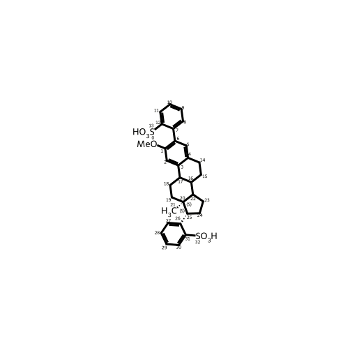 COc1cc2c(cc1-c1ccccc1S(=O)(=O)O)CCC1C2CC[C@@]2(C)C1CC[C@@H]2c1ccccc1S(=O)(=O)O